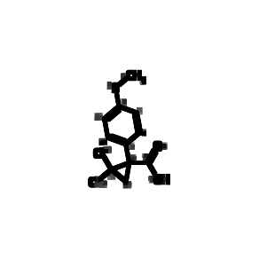 CSc1ccc(C2(C(=O)O)CC2(Cl)Cl)cc1